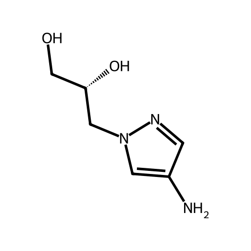 Nc1cnn(C[C@@H](O)CO)c1